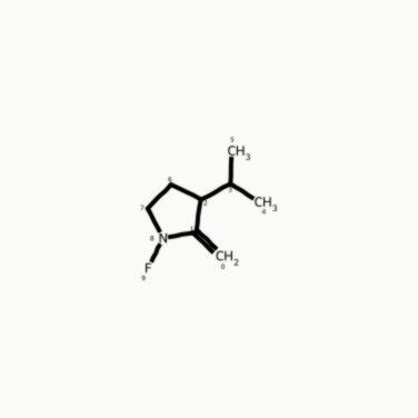 C=C1C(C(C)C)CCN1F